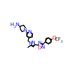 Cc1cc(-c2nc(-c3ccc(OC(F)(F)F)cc3)no2)nn1Cc1ccnc(N2CCC(N)CC2)c1